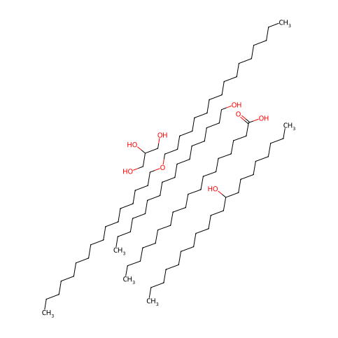 CCCCCCCCCCCC(O)CCCCCCCC.CCCCCCCCCCCCCCCCCC(=O)O.CCCCCCCCCCCCCCCCO.CCCCCCCCCCCCCCCCOCCCCCCCCCCCCCCCC.OCC(O)CO